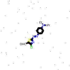 CCCN(CC)c1ccc(/N=N/c2nc(Cl)c(C=O)s2)cc1